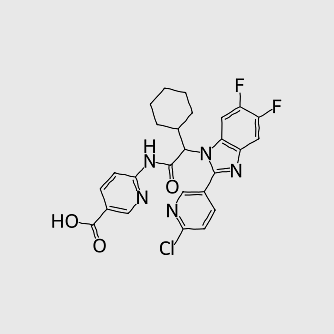 O=C(O)c1ccc(NC(=O)C(C2CCCCC2)n2c(-c3ccc(Cl)nc3)nc3cc(F)c(F)cc32)nc1